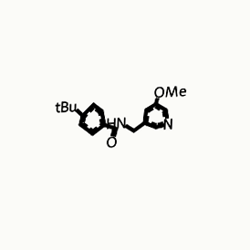 COc1cncc(CNC(=O)c2ccc(C(C)(C)C)cc2)c1